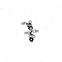 CCCN1CC2(CCN(CC(O)C3COc4ccccc4O3)CC2)OC1=O.Cl